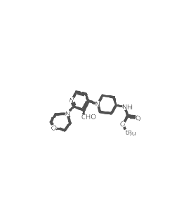 CC(C)(C)OC(=O)NC1CCN(c2ccnc(N3CCOCC3)c2C=O)CC1